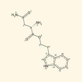 NC(=O)C[C@H](N)C(=O)OCCc1c[nH]c2ccccc12